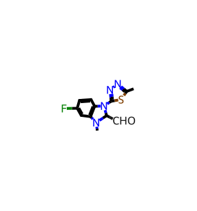 Cc1nnc(N2c3ccc(F)cc3N(C)C2C=O)s1